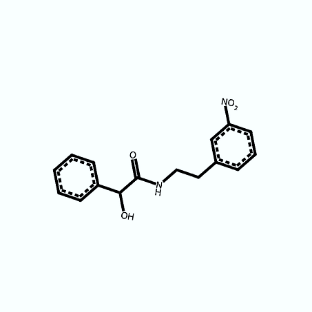 O=C(NCCc1cccc([N+](=O)[O-])c1)C(O)c1ccccc1